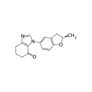 C[C@@H]1Cc2cc(-n3cnc4c3C(=O)CCC4)ccc2O1